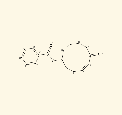 O=C1/C=C\CCC(OC(=O)c2ccccc2)CCCC1